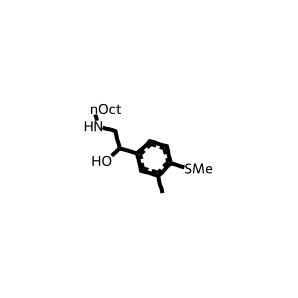 CCCCCCCCNCC(O)c1ccc(SC)c(C)c1